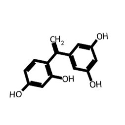 C=C(c1cc(O)cc(O)c1)c1ccc(O)cc1O